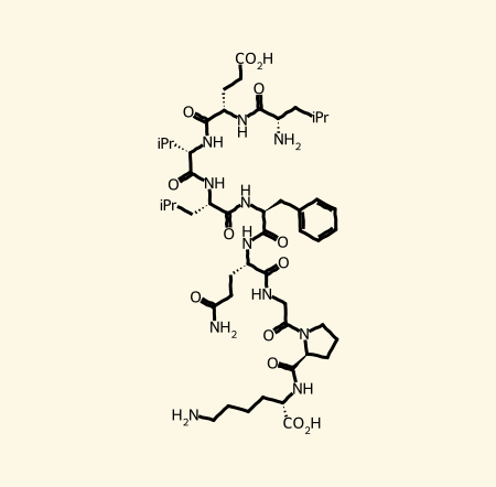 CC(C)C[C@H](NC(=O)[C@@H](NC(=O)[C@H](CCC(=O)O)NC(=O)[C@@H](N)CC(C)C)C(C)C)C(=O)N[C@@H](Cc1ccccc1)C(=O)N[C@@H](CCC(N)=O)C(=O)NCC(=O)N1CCC[C@H]1C(=O)N[C@@H](CCCCN)C(=O)O